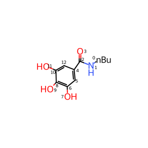 CCCCNC(=O)c1cc(O)c(O)c(O)c1